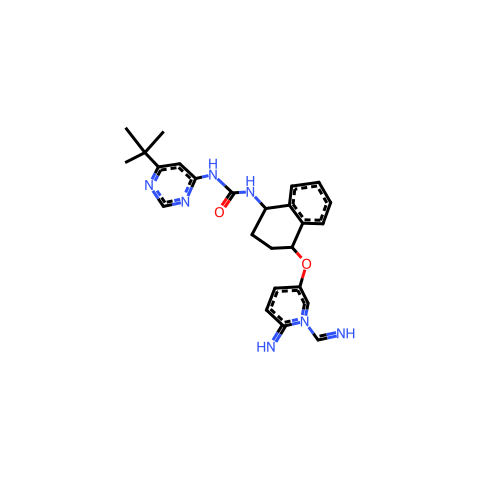 CC(C)(C)c1cc(NC(=O)NC2CCC(Oc3ccc(=N)n(C=N)c3)c3ccccc32)ncn1